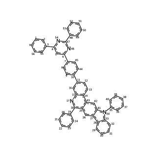 c1ccc(-c2cc(-c3ccc(-c4ccc5c(c4)nc(-c4ccccc4)c4cc6c7ccccc7n(-c7ccccc7)c6cc45)cc3)nc(-c3ccccc3)n2)cc1